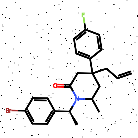 C=CCC1(c2ccc(F)cc2)CC(=O)N([C@@H](C)c2ccc(Br)cc2)C(C)C1